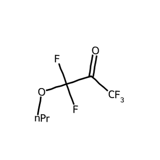 CCCOC(F)(F)C(=O)C(F)(F)F